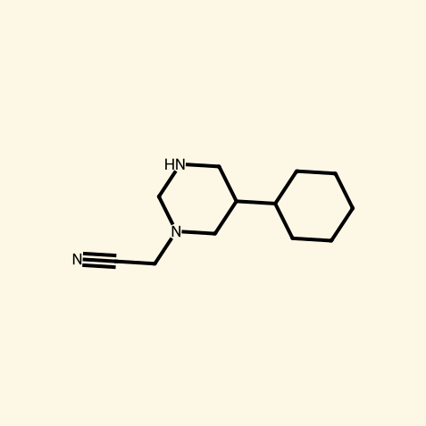 N#CCN1CNCC(C2CCCCC2)C1